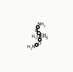 CC1(C(C)(C)c2ccc(Oc3ccc(N)cc3)cc2)C=CC(Oc2ccc(N)cc2)=CC1